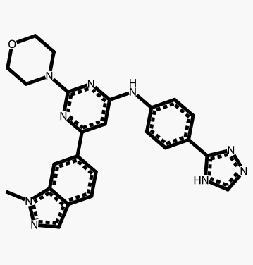 Cn1ncc2ccc(-c3cc(Nc4ccc(-c5nnc[nH]5)cc4)nc(N4CCOCC4)n3)cc21